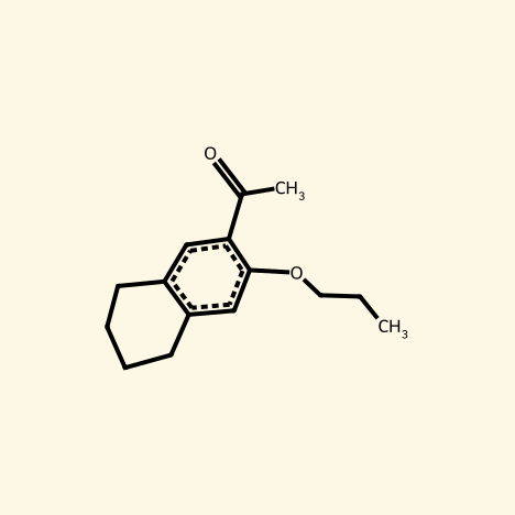 CCCOc1cc2c(cc1C(C)=O)CCCC2